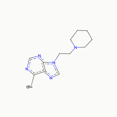 CC(C)(C)c1ncnc2c1ncn2CCN1CCCCC1